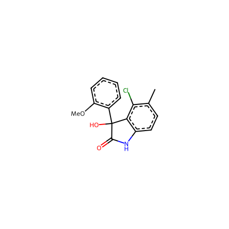 COc1ccccc1C1(O)C(=O)Nc2ccc(C)c(Cl)c21